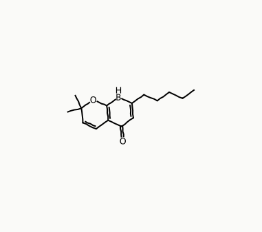 CCCCCC1=CC(=O)C2=C(B1)OC(C)(C)C=C2